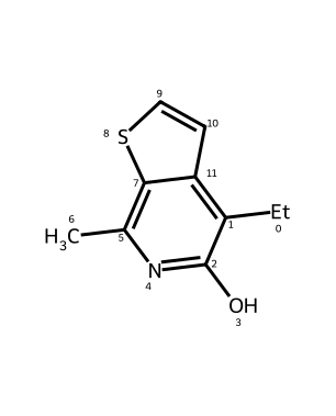 CCc1c(O)nc(C)c2sccc12